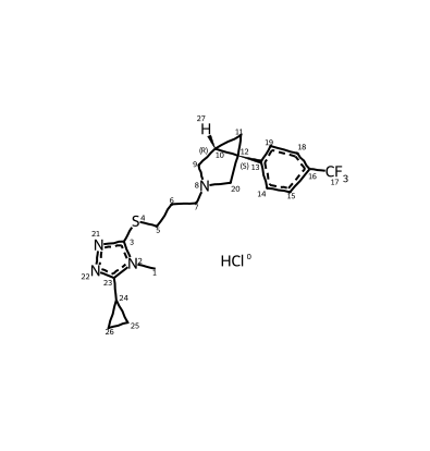 Cl.Cn1c(SCCCN2C[C@@H]3C[C@]3(c3ccc(C(F)(F)F)cc3)C2)nnc1C1CC1